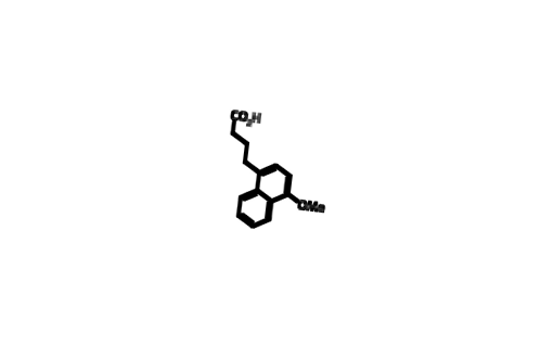 COc1ccc(CCCC(=O)O)c2ccccc12